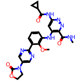 CNC(=O)c1nnc(NC(=O)C2CC2)cc1Nc1cccc(-c2ncc(N3CCOC3=O)cn2)c1OC